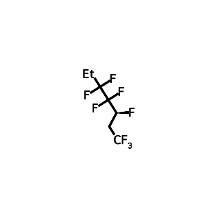 [CH2]CC(F)(F)C(F)(F)[C@@H](F)CC(F)(F)F